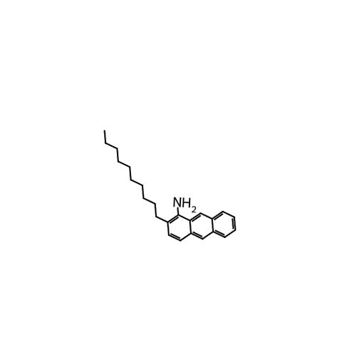 CCCCCCCCCCc1ccc2cc3ccccc3cc2c1N